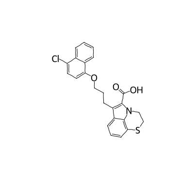 O=C(O)c1c(CCCOc2ccc(Cl)c3ccccc23)c2cccc3c2n1CCS3